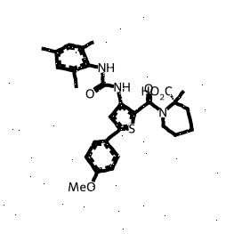 COc1ccc(-c2cc(NC(=O)Nc3c(C)cc(C)cc3C)c(C(=O)N3CCCC[C@@]3(C)C(=O)O)s2)cc1